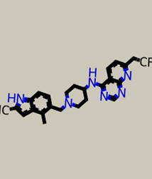 Cc1c(CN2CCC(Nc3ncnc4nc(CC(F)(F)F)ccc34)CC2)ccc2[nH]c(C#N)cc12